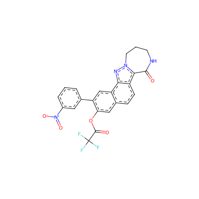 O=C1NCCCn2nc3c(ccc4cc(OC(=O)C(F)(F)F)c(-c5cccc([N+](=O)[O-])c5)cc43)c21